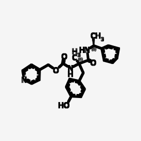 C[C@H](NC(=O)[C@](C)(Cc1ccc(O)cc1)NC(=O)OCc1ccncc1)c1ccccc1